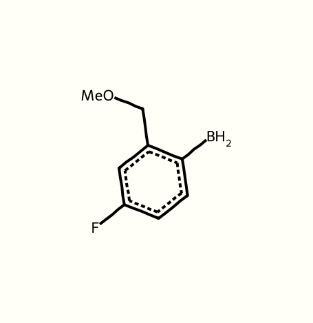 Bc1ccc(F)cc1COC